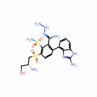 NN/N=C(\N)c1c(-c2cccc3[nH]c(N)nc23)ccc(S(=O)(=O)C[C@H](N)CO)c1S(N)(=O)=O